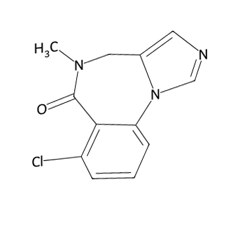 CN1Cc2cncn2-c2cccc(Cl)c2C1=O